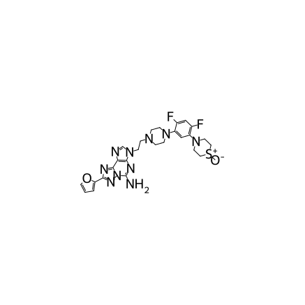 Nc1nc2c(ncn2CCN2CCN(c3cc(N4CC[S+]([O-])CC4)c(F)cc3F)CC2)c2nc(-c3ccco3)nn12